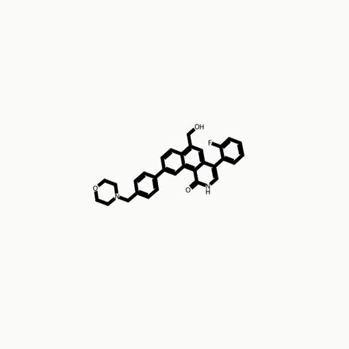 O=c1[nH]cc(-c2ccccc2F)c2cc(CO)c3ccc(-c4ccc(CN5CCOCC5)cc4)cc3c12